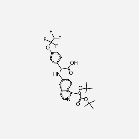 CC(C)(C)OC(=O)N(OC(C)(C)C)c1nccc2cc(NC(C(=O)O)c3ccc(OC(F)(F)C(F)F)cc3)ccc12